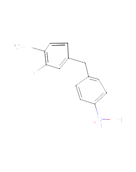 COc1ccc(Cc2ccc([NH+]([O-])O)cc2)cc1Br